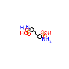 Nc1ccc(/C=C/c2ccc(N)c(S(=O)(=O)O)c2)cc1S(=O)(=O)O